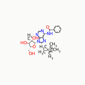 C[C@@]1(O)[C@H](O)[C@@H](CO)O[C@H]1n1cnc2c(NC(=O)c3ccccc3)ncnc21.C[SiH](C)C(C)(C)C